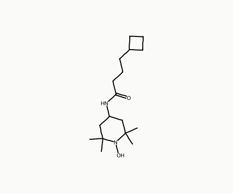 CC1(C)CC(NC(=O)CCCC2CCC2)CC(C)(C)N1O